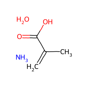 C=C(C)C(=O)O.N.O